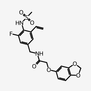 C=Cc1cc(CNC(=O)COc2ccc3c(c2)OCO3)cc(F)c1NS(C)(=O)=O